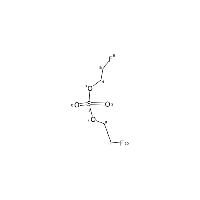 O=S(=O)(OCCF)OCCF